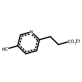 CCOC(=O)CCc1ccc(C#N)cn1